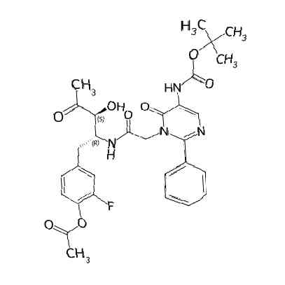 CC(=O)Oc1ccc(C[C@@H](NC(=O)Cn2c(-c3ccccc3)ncc(NC(=O)OC(C)(C)C)c2=O)[C@H](O)C(C)=O)cc1F